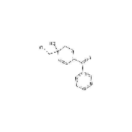 O=C(C1=CCC(O)(CCl)C=C1)c1ccccc1